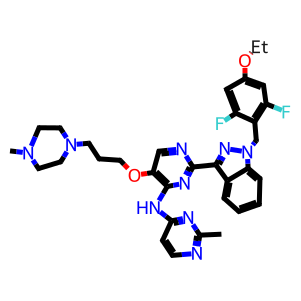 CCOc1cc(F)c(Cn2nc(-c3ncc(OCCCN4CCN(C)CC4)c(Nc4ccnc(C)n4)n3)c3ccccc32)c(F)c1